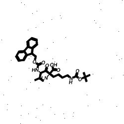 CC(C)[C@H](NC(=O)OCC1c2ccccc2-c2ccccc21)C(=O)[C@](N)(CCCCNC(=O)OC(C)(C)C)C(=O)O